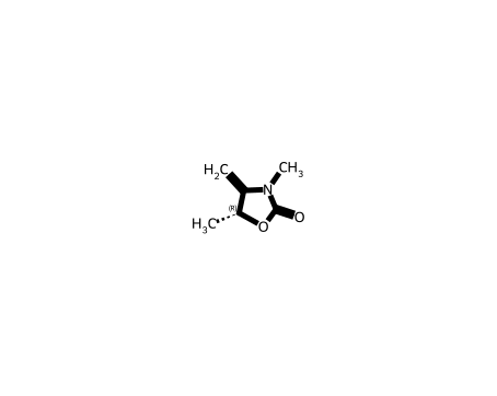 C=C1[C@@H](C)OC(=O)N1C